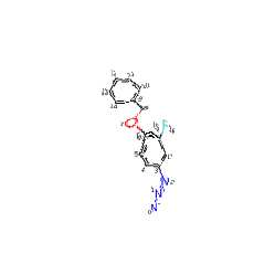 [N-]=[N+]=Nc1ccc(OCc2ccccc2)c(F)c1